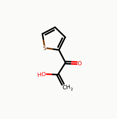 C=C(O)C(=O)c1cccs1